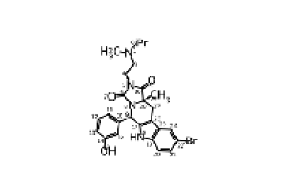 CC(C)N(C)CCN1C(=O)N2[C@H](c3cccc(O)c3)c3[nH]c4ccc(Br)cc4c3C[C@@]2(C)C1=O